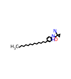 CCCCCCCCCCCCCCc1ccc(NC(=O)C2(C#N)CC2)cc1